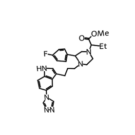 CCC(C(=O)OC)N1CCN(CCCc2c[nH]c3ccc(-n4cnnc4)cc23)C(c2ccc(F)cc2)C1